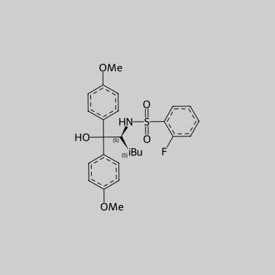 CC[C@H](C)[C@H](NS(=O)(=O)c1ccccc1F)C(O)(c1ccc(OC)cc1)c1ccc(OC)cc1